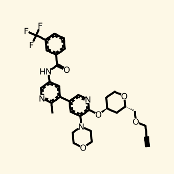 C#CCOC[C@@H]1C[C@@H](Oc2ncc(-c3cc(NC(=O)c4cccc(C(F)(F)F)c4)cnc3C)cc2N2CCOCC2)CCO1